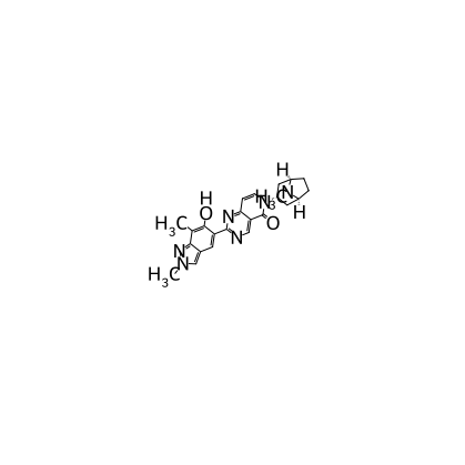 Cc1c(O)c(-c2ncc3c(=O)n([C@@H]4C[C@H]5CC[C@@H](C4)N5C)ccc3n2)cc2cn(C)nc12